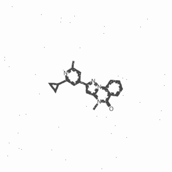 Cc1cc(-c2cc3n(C)c(=O)c4ccccc4n3n2)cc(C2CC2)n1